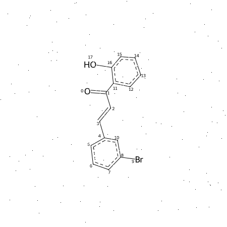 O=C(C=Cc1cccc(Br)c1)c1ccccc1O